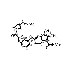 CNCC1CCN(C(=O)c2cc3nccc(Oc4ccc5c(C(=O)NC)c(C)n(C)c5c4)c3s2)C1